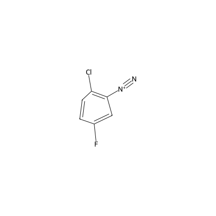 N#[N+]c1cc(F)ccc1Cl